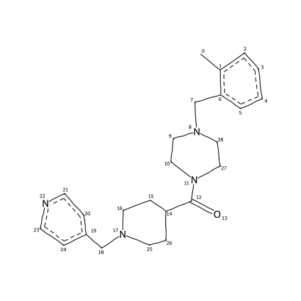 Cc1ccccc1CN1CCN(C(=O)C2CCN(Cc3ccncc3)CC2)CC1